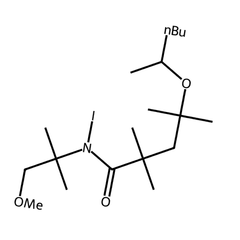 CCCCC(C)OC(C)(C)CC(C)(C)C(=O)N(I)C(C)(C)COC